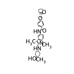 Cc1c(CN[C@H]2CC[C@](C)(O)CC2)n(C)c2ccc(NC(=O)c3ccc(OC[C@@H]4CCCO4)cc3)cc12